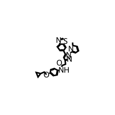 Cc1cccc(-n2nc(CC(=O)Nc3ccc(OCC4CC4)cc3)cc2-c2ccc3ncsc3c2)n1